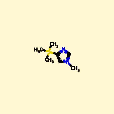 Cn1cnc(S(C)(C)C)c1